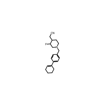 N#CCC1CCN(Cc2ccc(C3=CCCCC3)cc2)CC1F